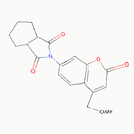 COCc1cc(=O)oc2cc(N3C(=O)C4CCCCC4C3=O)ccc12